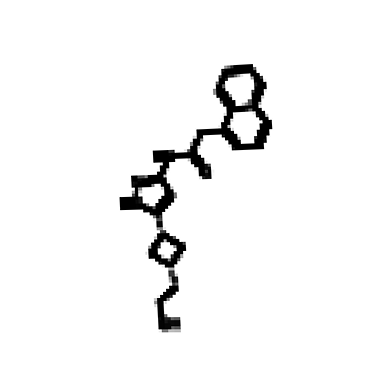 O=C(Cc1cccc2ccccc12)Nc1cc([C@H]2C[C@@H](CCO)C2)[nH]n1